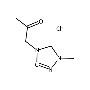 CC(=O)CN1[C+]=NN(C)C1.[Cl-]